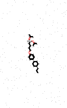 CCC[C@H]1CC[C@H](c2ccc(OCCCC[SiH](OC(C)C)OC(C)C)cc2)CC1